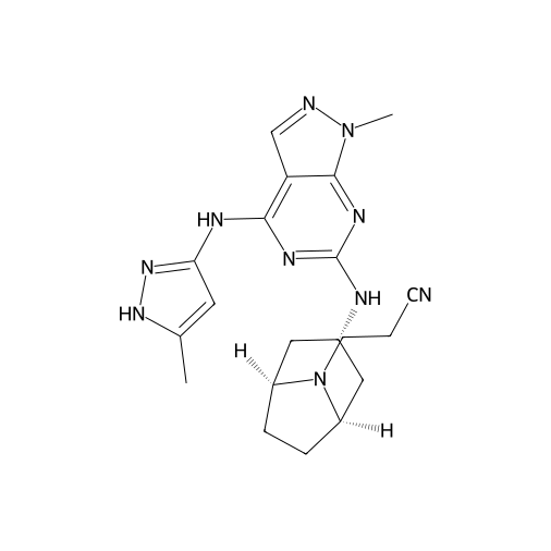 Cc1cc(Nc2nc(N[C@@H]3C[C@H]4CC[C@@H](C3)N4CCC#N)nc3c2cnn3C)n[nH]1